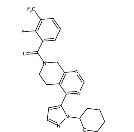 O=C(c1cccc(C(F)(F)F)c1F)N1CCc2c(ncnc2-c2ccnn2C2CCCCO2)C1